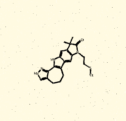 CCSCCN1C(=O)C(C)(C)c2cc3[nH]c4c(c3cc21)CCCc1c[nH]nc1-4